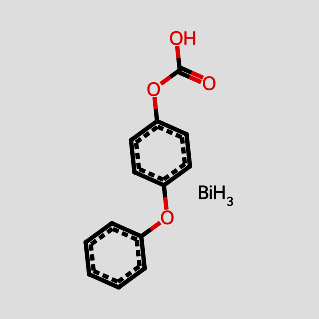 O=C(O)Oc1ccc(Oc2ccccc2)cc1.[BiH3]